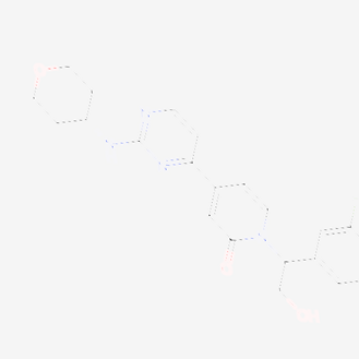 O=c1cc(-c2ccnc(N[C@H]3CCOC[C@H]3F)n2)ccn1C(CO)c1cccc(F)c1